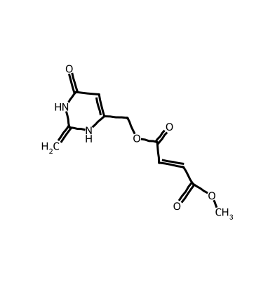 C=C1NC(=O)C=C(COC(=O)/C=C/C(=O)OC)N1